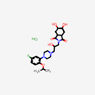 CC(C)Oc1ccc(F)cc1N1CCN(CC(O)CN2C(=O)C3CC(O)C(O)CC3C2=O)CC1.Cl